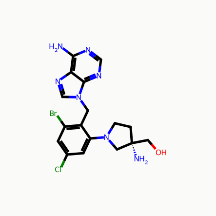 Nc1ncnc2c1ncn2Cc1c(Br)cc(Cl)cc1N1CC[C@@](N)(CO)C1